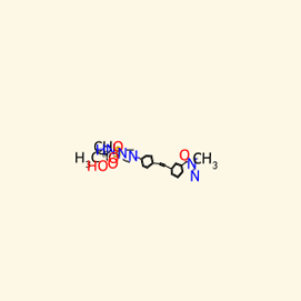 CC(C)[C@@H](NS(=O)(=O)N1CCN(c2ccc(C#Cc3cccc(C(=O)N(C)C#N)c3)cc2)CC1)C(=O)O